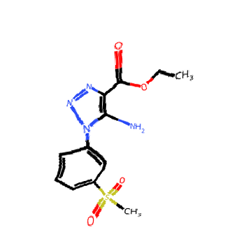 CCOC(=O)c1nnn(-c2cccc(S(C)(=O)=O)c2)c1N